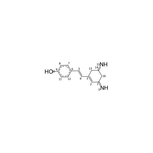 N=C1C=C(C=Cc2ccc(O)cc2)CC(=N)C1